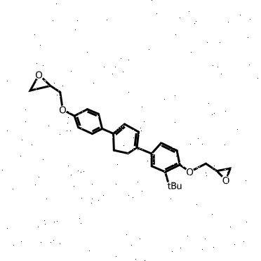 CC(C)(C)c1cc(C2=CC=C(c3ccc(OCC4CO4)cc3)CC2)ccc1OCC1CO1